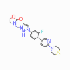 O=C1OCCN1CN1C=CN(c2ccc(-c3ccc(N4CCSCC4)nc3)c(F)c2)N1